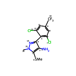 CSc1c(N)c(-c2c(Cl)cc(C(F)(F)F)cc2Cl)nn1C